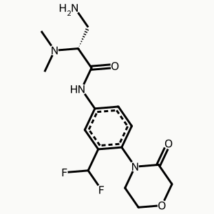 CN(C)[C@H](CN)C(=O)Nc1ccc(N2CCOCC2=O)c(C(F)F)c1